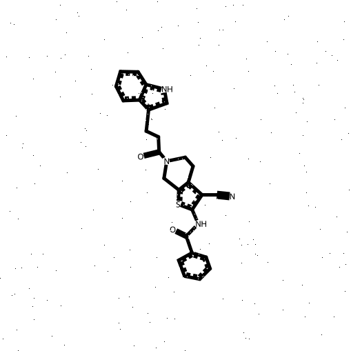 N#Cc1c(NC(=O)c2ccccc2)sc2c1CCN(C(=O)CCc1c[nH]c3ccccc13)C2